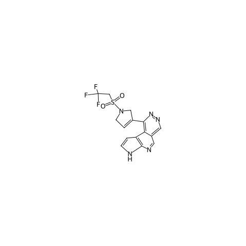 O=S(=O)(CC(F)(F)F)N1CC=C(c2nncc3cnc4[nH]ccc4c23)C1